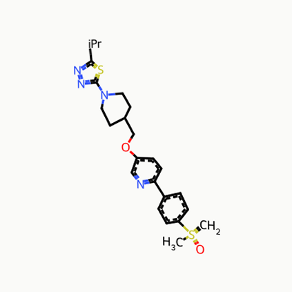 C=S(C)(=O)c1ccc(-c2ccc(OCC3CCN(c4nnc(C(C)C)s4)CC3)cn2)cc1